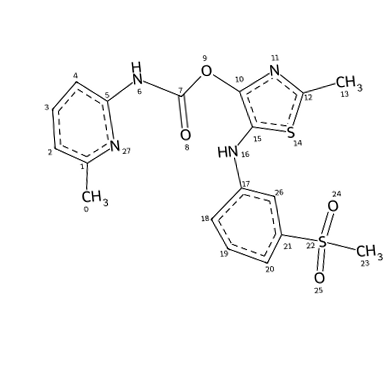 Cc1cccc(NC(=O)Oc2nc(C)sc2Nc2cccc(S(C)(=O)=O)c2)n1